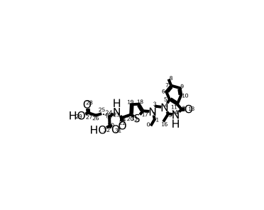 CCN(CN1c2cc(C)ccc2C(=O)NC1C)c1ccc(C(=O)N[C@@H](CCC(=O)O)C(=O)O)s1